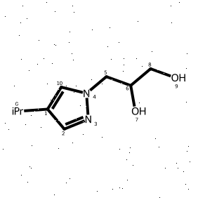 CC(C)c1cnn(CC(O)CO)c1